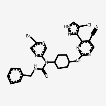 N#Cc1cnc(NC2CCC(N(C(=O)NCc3ccccc3)c3cnc(Br)cn3)CC2)nc1-c1n[nH]cc1Cl